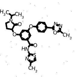 Cc1csc(NC(=O)c2cc(Oc3ccc(-c4nnc(C)o4)cc3)cc(OC3CCN(C(C)C)C3=O)c2)n1